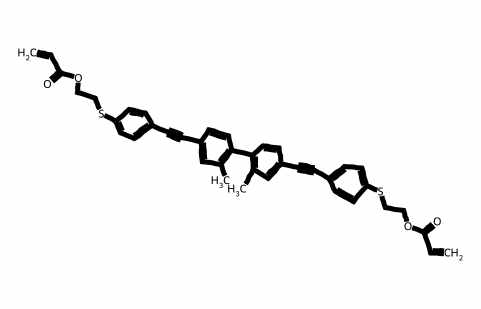 C=CC(=O)OCCSc1ccc(C#Cc2ccc(-c3ccc(C#Cc4ccc(SCCOC(=O)C=C)cc4)cc3C)c(C)c2)cc1